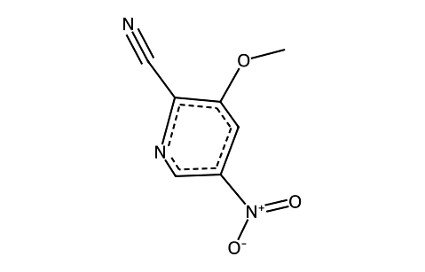 COc1cc([N+](=O)[O-])cnc1C#N